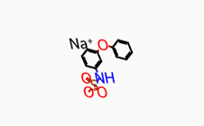 O=S(=O)([O-])Nc1cccc(Oc2ccccc2)c1.[Na+]